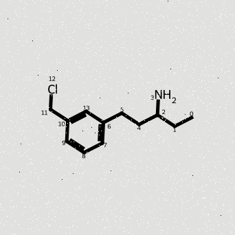 CCC(N)CCc1cccc(CCl)c1